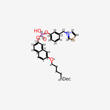 CCCCCCCCCCCCCCOc1ccc2ccc(OP(=O)(O)Oc3cccc(C[n+]4ccsc4)c3)cc2c1